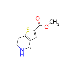 COC(=O)c1cc2c(s1)CCN[C]2